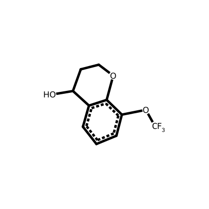 OC1CCOc2c(OC(F)(F)F)cccc21